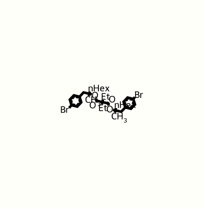 CCCCCCC(C)(Cc1ccc(Br)cc1)OC(=O)C(CC)(CC)C(=O)OC(C)(CCCCCC)Cc1ccc(Br)cc1